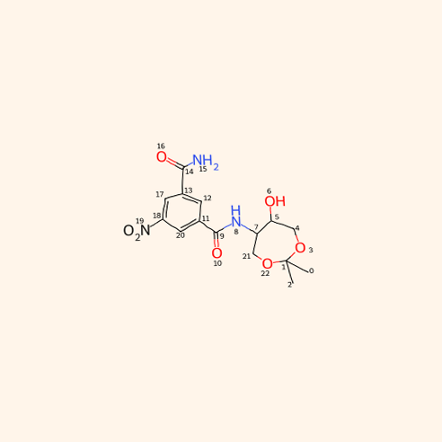 CC1(C)OCC(O)C(NC(=O)c2cc(C(N)=O)cc([N+](=O)[O-])c2)CO1